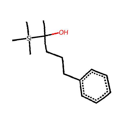 CC(O)(CCCc1ccccc1)[Si](C)(C)C